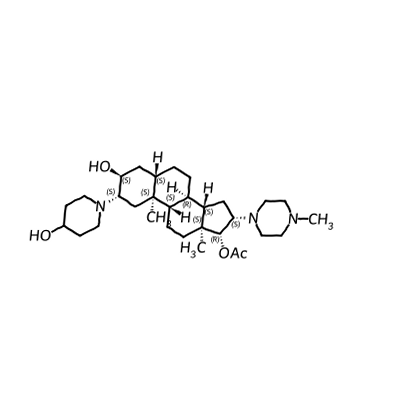 CC(=O)O[C@H]1[C@@H](N2CCN(C)CC2)C[C@H]2[C@@H]3CC[C@H]4C[C@H](O)[C@@H](N5CCC(O)CC5)C[C@]4(C)[C@H]3CC[C@@]21C